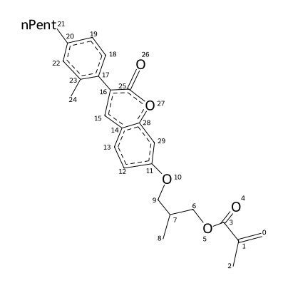 C=C(C)C(=O)OCC(C)COc1ccc2cc(-c3ccc(CCCCC)cc3C)c(=O)oc2c1